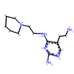 NCCc1cnc(N)nc1NCCN1CCCCC1